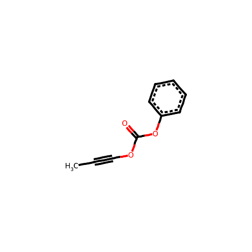 CC#COC(=O)Oc1ccccc1